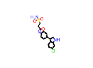 NS(=O)(=O)CCc1nc2ccc(-c3c[nH]c4cc(Cl)ccc34)cc2o1